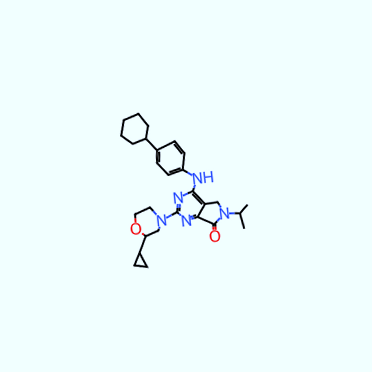 CC(C)N1Cc2c(Nc3ccc(C4CCCCC4)cc3)nc(N3CCOC(C4CC4)C3)nc2C1=O